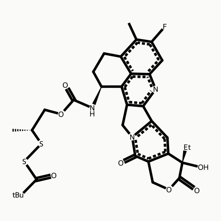 CC[C@@]1(O)C(=O)OCc2c1cc1n(c2=O)Cc2c-1nc1cc(F)c(C)c3c1c2[C@@H](NC(=O)OC[C@@H](C)SSC(=O)C(C)(C)C)CC3